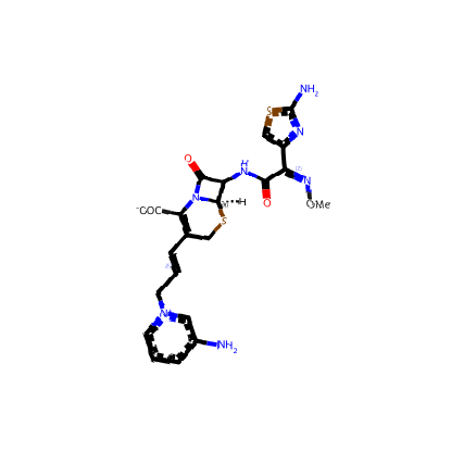 CO/N=C(\C(=O)NC1C(=O)N2C(C(=O)[O-])=C(/C=C/C[n+]3cccc(N)c3)CS[C@H]12)c1csc(N)n1